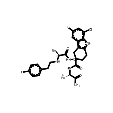 CCC(C)[C@H](NCCc1ccc(F)cc1)C(=O)N[C@]1(C(=O)NC(C(N)=S)[C@@H](C)CC)CCc2[nH]c3c(Cl)cc(F)cc3c2C1